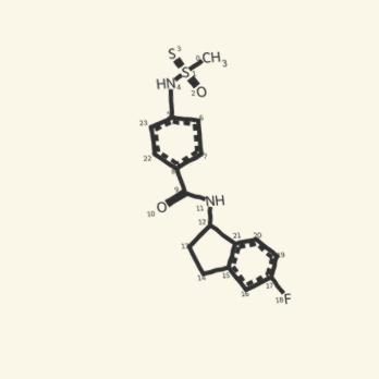 CS(=O)(=S)Nc1ccc(C(=O)NC2CCc3cc(F)ccc32)cc1